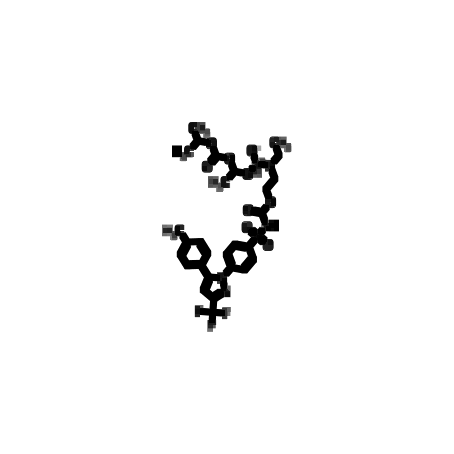 CCN(CCOC(=O)NS(=O)(=O)c1ccc(-n2nc(C(F)(F)F)cc2-c2ccc(C)cc2)cc1)[NH+]([O-])OC(C)OC(=O)OC(C)C